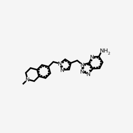 CN1CCc2cc(Cn3cc(Cn4nnc5ccc(N)nc54)cn3)ccc2C1